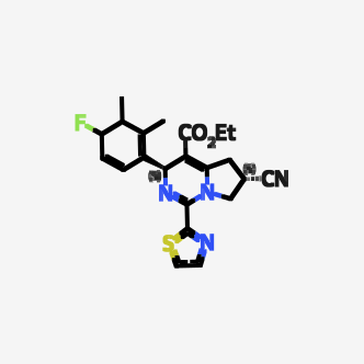 CCOC(=O)C1=C2C[C@H](C#N)CN2C(c2nccs2)=N[C@H]1C1=C(C)C(C)C(F)C=C1